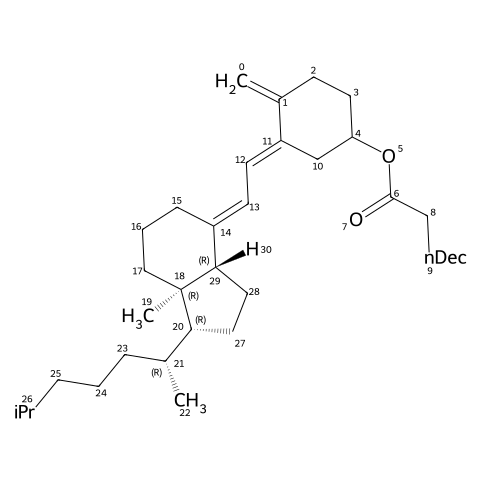 C=C1CCC(OC(=O)CCCCCCCCCCC)CC1=CC=C1CCC[C@]2(C)[C@@H]([C@H](C)CCCC(C)C)CC[C@@H]12